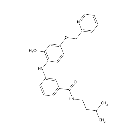 Cc1cc(OCc2ccccn2)ccc1Nc1cccc(C(=O)NCCC(C)C)c1